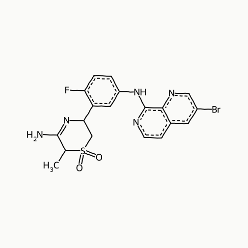 CC1C(N)=NC(c2cc(Nc3nccc4cc(Br)cnc34)ccc2F)CS1(=O)=O